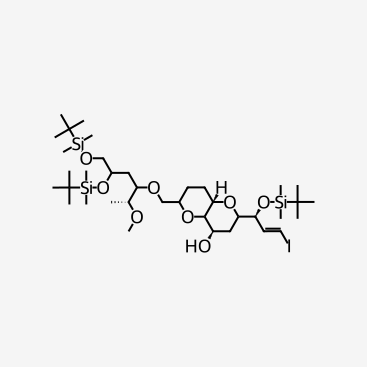 CO[C@H](C)C(CC(CO[Si](C)(C)C(C)(C)C)O[Si](C)(C)C(C)(C)C)OCC1CC[C@@H]2OC([C@H](/C=C/I)O[Si](C)(C)C(C)(C)C)C[C@@H](O)C2O1